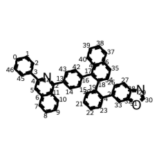 c1ccc(-c2cc3ccccc3c(-c3ccc(-c4c(-c5ccccc5-c5ccc6ncoc6c5)ccc5ccccc45)cc3)n2)cc1